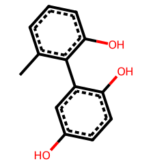 Cc1cccc(O)c1-c1cc(O)ccc1O